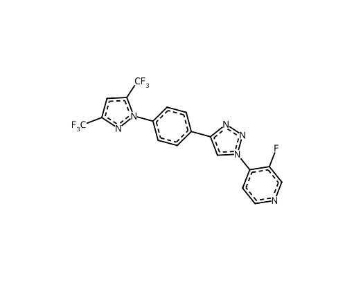 Fc1cnccc1-n1cc(-c2ccc(-n3nc(C(F)(F)F)cc3C(F)(F)F)cc2)nn1